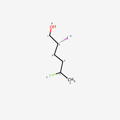 CC(F)CC[C@@H](I)CO